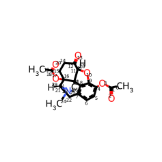 CC(=O)Oc1ccc2c3c1O[C@H]1C(=O)CCC4(OC(C)=O)[C@@H](C2)N(C)CC[C@]314